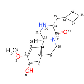 COc1cc2c(cc1O)CCN1C(=O)[C@@H](CC3CCC3)NC[C@H]21